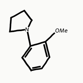 COc1cc[c]cc1N1CCCC1